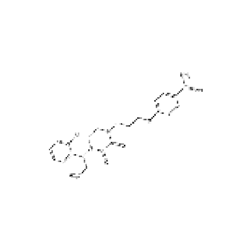 N=C(N)c1ccc(OCCCN2CCN(C(CC(=O)O)c3ccccc3Cl)C(=O)C2=O)cc1